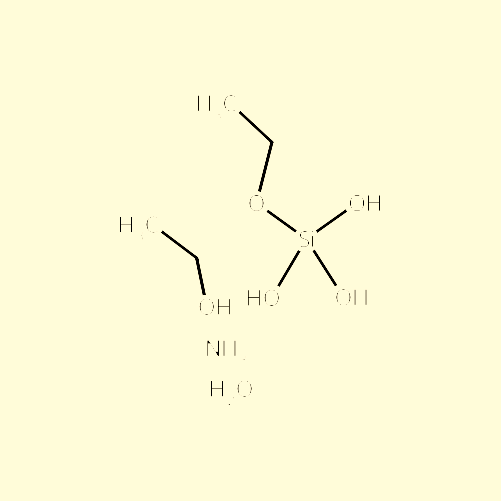 CCO.CCO[Si](O)(O)O.N.O